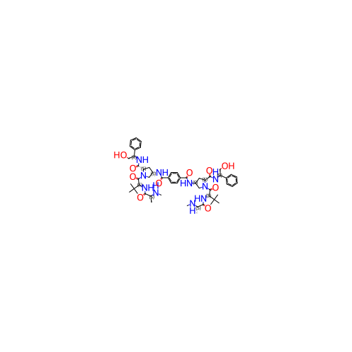 CN[C@@H](C)C(=O)N[C@H](C(=O)N1C[C@@H](NC(=O)c2ccc(C(=O)N[C@H]3C[C@@H](C(=O)N[C@@H](CO)c4ccccc4)N(C(=O)[C@@H](NC(=O)[C@H](C)NC)C(C)(C)C)C3)cc2)C[C@H]1C(=O)N[C@@H](CO)c1ccccc1)C(C)(C)C